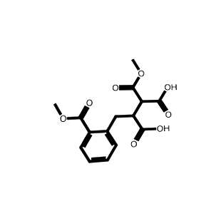 COC(=O)c1ccccc1CC(C(=O)O)C(C(=O)O)C(=O)OC